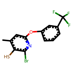 Cc1cc(Oc2cccc(C(F)(F)F)c2)nc(Br)c1S